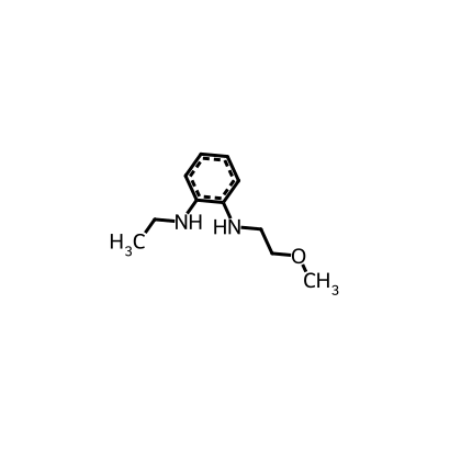 CCNc1ccccc1NCCOC